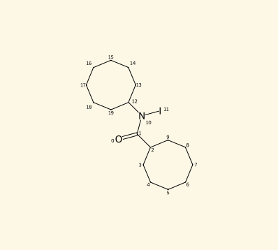 O=C(C1CCCCCCC1)N(I)C1CCCCCCC1